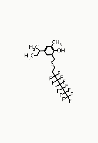 CCC(C)c1cc(C)c(O)c(CSCCC(F)(F)C(F)(F)C(F)(F)C(F)(F)C(F)(F)C(F)(F)F)c1